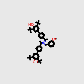 COc1cccc(CN(C(C)c2ccc(-c3cc(C(C)(C)C)c(O)c(C(C)(C)C)c3)cc2)C(C)c2ccc(-c3cc(C(C)(C)C)c(O)c(C(C)(C)C)c3)cc2)c1